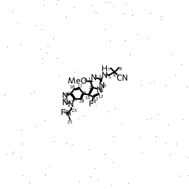 COc1nc(NCC(C)(C)C#N)nn2cc(F)c(-c3ccc4nnn(C[C@@H](C)F)c4c3)c12